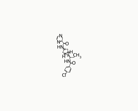 CCC(NC(=O)c1ccc(Cl)cc1)[C@H]1[C@@H]2C[C@@H](NC(=O)c3cnccn3)C[C@@H]21